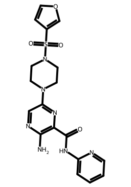 Nc1ncc(N2CCN(S(=O)(=O)c3ccoc3)CC2)nc1C(=O)Nc1ccccn1